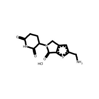 Cl.NCc1cc2c(s1)C(=O)N(C1CCC(=O)NC1=O)C2